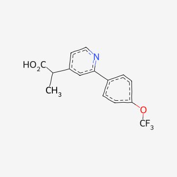 CC(C(=O)O)c1ccnc(-c2ccc(OC(F)(F)F)cc2)c1